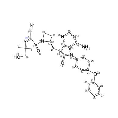 CC(C)(/C=C(/C#N)C(=O)N1CC[C@H]1Cn1c(=O)n(-c2ccc(Oc3ccccc3)cc2)c2c(N)ncnc21)CO